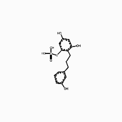 O=P(O)(O)Sc1cc(O)cc(O)c1CCCc1cccc(O)c1